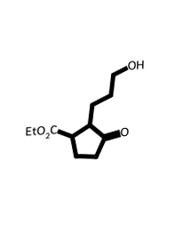 CCOC(=O)C1CCC(=O)C1CCCO